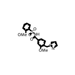 COc1cc(C(=O)NS(=O)(=O)c2ccccc2OC)ccc1Cn1cccn1